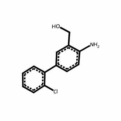 Nc1ccc(-c2ccccc2Cl)cc1CO